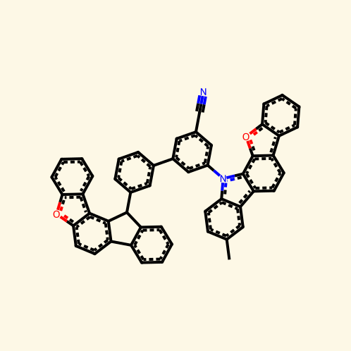 Cc1ccc2c(c1)c1ccc3c4ccccc4oc3c1n2-c1cc(C#N)cc(-c2cccc(C3c4ccccc4-c4ccc5oc6ccccc6c5c43)c2)c1